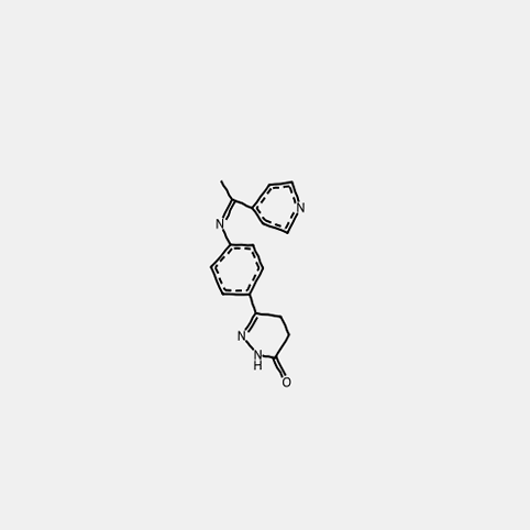 CC(=Nc1ccc(C2=NNC(=O)CC2)cc1)c1ccncc1